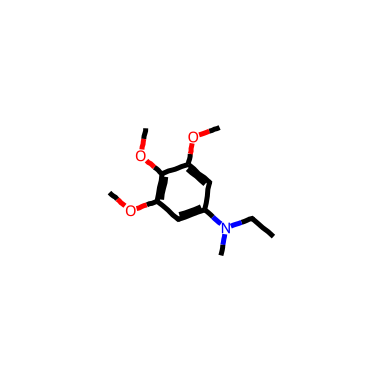 CCN(C)c1cc(OC)c(OC)c(OC)c1